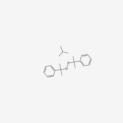 CC(C)(OOC(C)(C)c1ccccc1)c1ccccc1.C[C](C)C